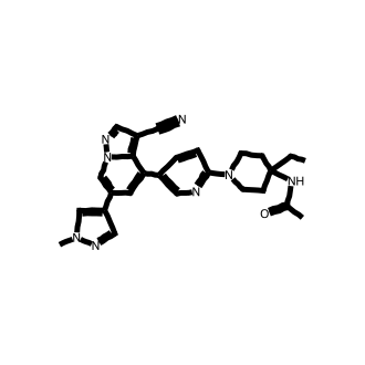 CCC1(NC(C)=O)CCN(c2ccc(-c3cc(-c4cnn(C)c4)cn4ncc(C#N)c34)cn2)CC1